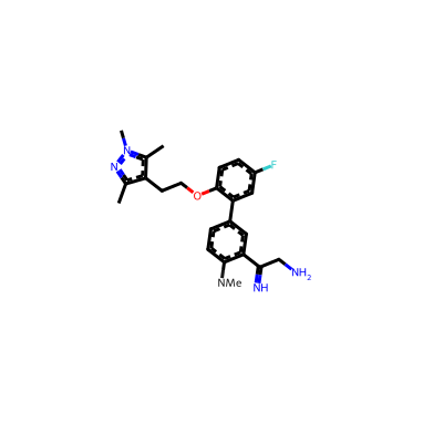 CNc1ccc(-c2cc(F)ccc2OCCc2c(C)nn(C)c2C)cc1C(=N)CN